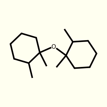 CC1CCCCC1(C)OC1(C)CCCCC1C